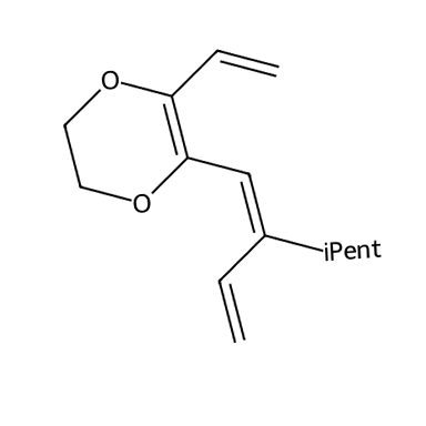 C=CC1=C(/C=C(\C=C)C(C)CCC)OCCO1